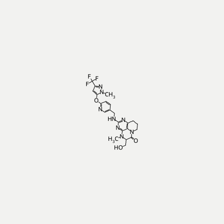 CN1c2nc(NCc3ccc(Oc4cc(C(F)(F)F)nn4C)nc3)nc3c2N(CCC3)C(=O)C1CO